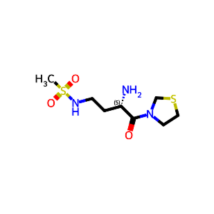 CS(=O)(=O)NCC[C@H](N)C(=O)N1CCSC1